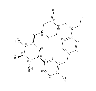 CCOc1ccc(Cc2cc([C@@H]3O[C@H](CN4CCN(C)C(=O)C4)[C@@H](O)[C@H](O)[C@H]3O)ccc2Cl)cc1